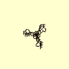 FC1(F)C=CC=C(COB2OB(OCC3=CC=CC(F)(F)C3(F)F)OB(OCC3=CC=CC(F)(F)C3(F)F)O2)C1(F)F